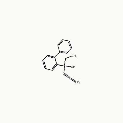 C=C=CC(O)(CC)c1ccccc1-c1ccccc1